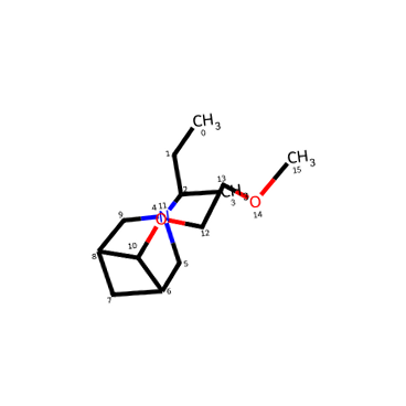 CCC(C)N1CC2CC(C1)C2OCCOC